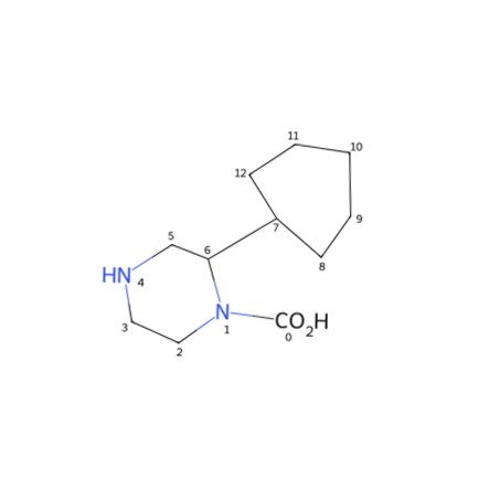 O=C(O)N1CCNCC1C1CCCCC1